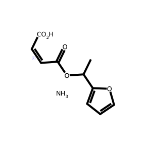 CC(OC(=O)/C=C\C(=O)O)c1ccco1.N